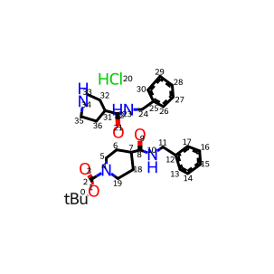 CC(C)(C)OC(=O)N1CCC(C(=O)NCc2ccccc2)CC1.Cl.O=C(NCc1ccccc1)C1CCNCC1